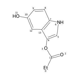 CCC(=O)Oc1c[nH]c2ccc(O)cc12